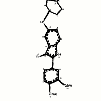 COc1ccc(-c2[nH]c3ccc(OC4CCNCC4)cc3c2C(C)C)cc1OC